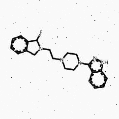 FC1c2ccccc2CN1CCN1CCN(c2n[nH]c3ccccc23)CC1